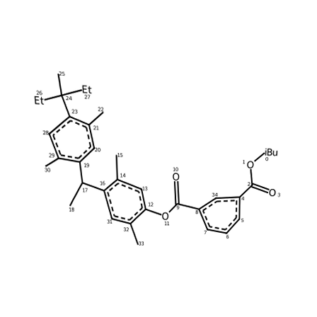 CCC(C)OC(=O)c1cccc(C(=O)Oc2cc(C)c(C(C)c3cc(C)c(C(C)(CC)CC)cc3C)cc2C)c1